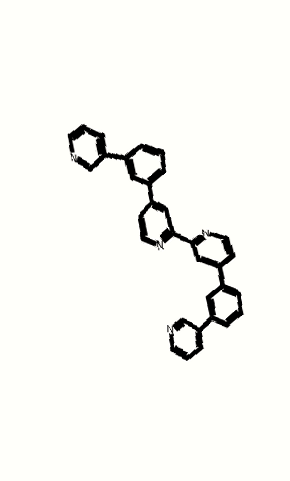 c1cncc(-c2cccc(-c3ccnc(-c4cc(-c5cccc(-c6cccnc6)c5)ccn4)c3)c2)c1